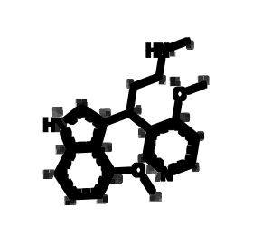 CNCCC(c1cnccc1OC)c1c[nH]c2cccc(OC)c12